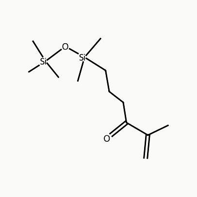 C=C(C)C(=O)CCC[Si](C)(C)O[Si](C)(C)C